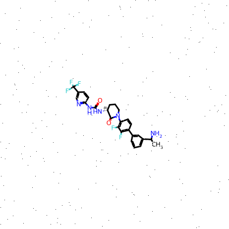 CC(N)c1cccc(-c2ccc(N3CCC[C@@H](NC(=O)Nc4ccc(C(F)(F)F)cn4)C3=O)c(F)c2F)c1